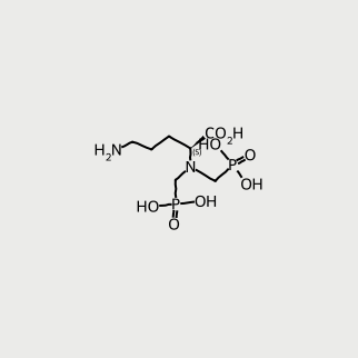 NCCC[C@@H](C(=O)O)N(CP(=O)(O)O)CP(=O)(O)O